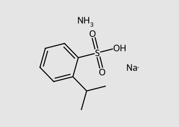 CC(C)c1ccccc1S(=O)(=O)O.N.[Na]